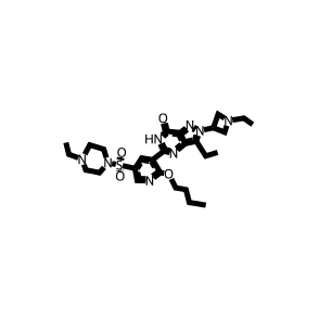 CCCCOc1ncc(S(=O)(=O)N2CCN(CC)CC2)cc1-c1nc2c(CC)n(C3CN(CC)C3)nc2c(=O)[nH]1